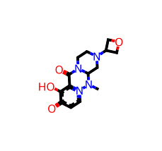 CN1C2CN(C3COC3)CCN2C(=O)c2c(O)c(=O)ccn21